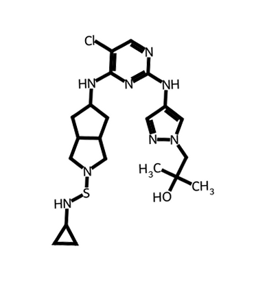 CC(C)(O)Cn1cc(Nc2ncc(Cl)c(NC3CC4CN(SNC5CC5)CC4C3)n2)cn1